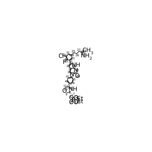 CCOP(=O)(OCC)OC[C@@H]1COC[C@H](c2ccc(-n3cc4cc(-c5cc(CCC[C@H](C)N)cc(Cl)c5F)[nH]c4nc3=O)cc2)N1